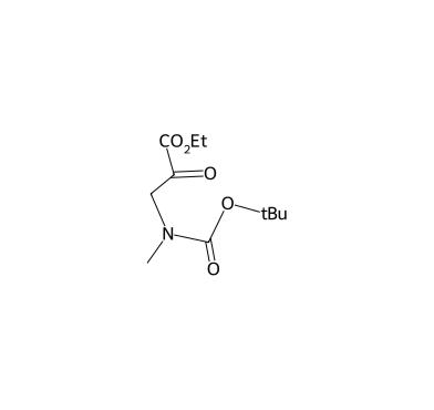 CCOC(=O)C(=O)CN(C)C(=O)OC(C)(C)C